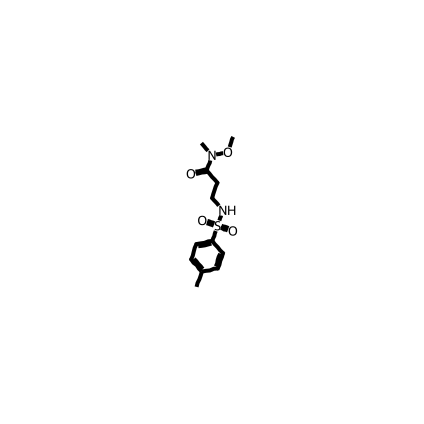 CON(C)C(=O)CCNS(=O)(=O)c1ccc(C)cc1